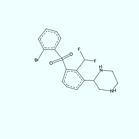 O=S(=O)(c1ccccc1Br)c1cccc(C2CNCCN2)c1C(F)F